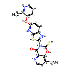 COc1ccnc2c(=O)n(-c3nc4ccc(Oc5cccnc5C)nc4s3)c(=S)oc12